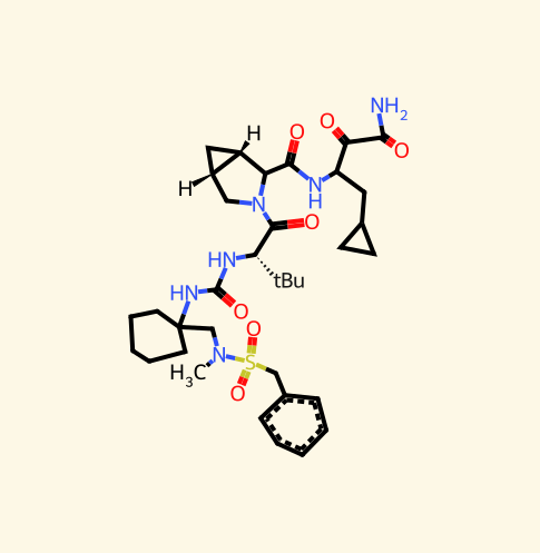 CN(CC1(NC(=O)N[C@H](C(=O)N2C[C@@H]3C[C@@H]3C2C(=O)NC(CC2CC2)C(=O)C(N)=O)C(C)(C)C)CCCCC1)S(=O)(=O)Cc1ccccc1